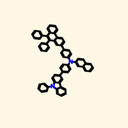 c1ccc(-c2c(-c3ccccc3)c3cc(-c4ccc(N(c5ccc(-c6ccc7c(c6)c6ccccc6n7-c6ccccc6)cc5)c5ccc6ccccc6c5)cc4)ccc3c3ccccc23)cc1